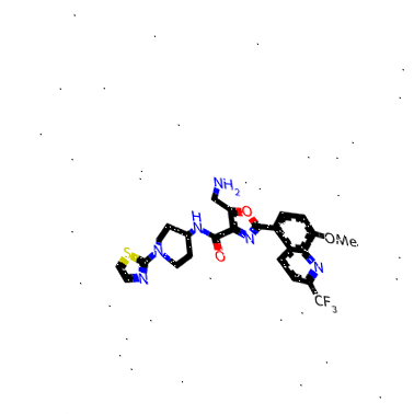 COc1ccc(-c2nc(C(=O)NC3CCN(c4nccs4)CC3)c(CN)o2)c2ccc(C(F)(F)F)nc12